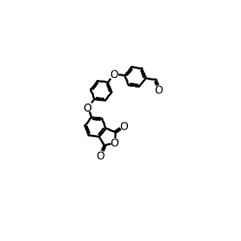 O=Cc1ccc(Oc2ccc(Oc3ccc4c(c3)C(=O)OC4=O)cc2)cc1